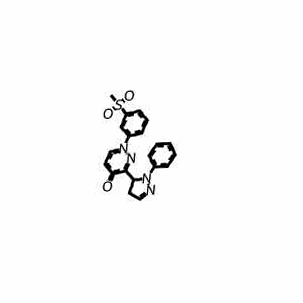 CS(=O)(=O)c1cccc(-n2ccc(=O)c(C3CC=NN3c3ccccc3)n2)c1